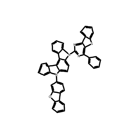 c1ccc(-c2nc(-n3c4ccccc4c4c5c6ccccc6n(-c6ccc7c(c6)oc6ccccc67)c5ccc43)nc3c2sc2ccccc23)cc1